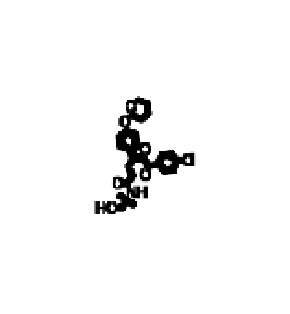 CC(C)(CO)NC(=O)CCc1c(C(=O)c2ccc(Cl)cc2)oc2cc(OC3CCCCO3)ccc12